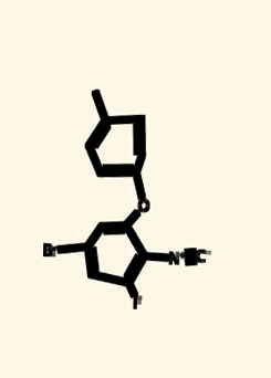 [C-]#[N+]c1c(F)cc(Br)cc1Oc1ccc(C)cc1